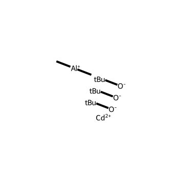 CC(C)(C)[O-].CC(C)(C)[O-].CC(C)(C)[O-].[CH3][Al+][CH3].[Cd+2]